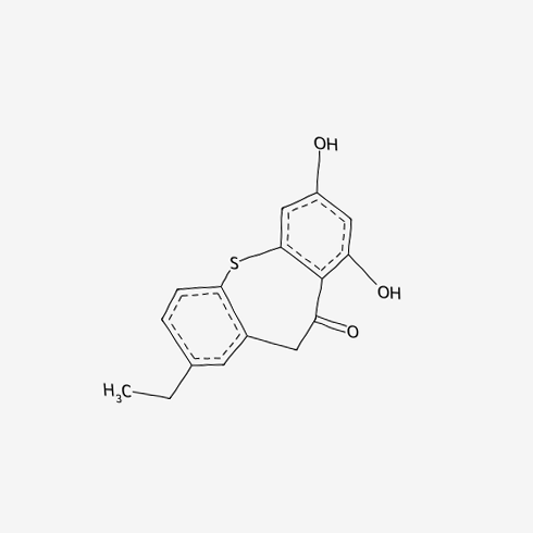 CCc1ccc2c(c1)CC(=O)c1c(O)cc(O)cc1S2